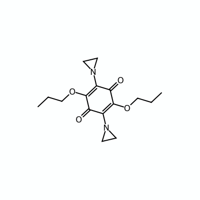 CCCOC1=C(N2CC2)C(=O)C(OCCC)=C(N2CC2)C1=O